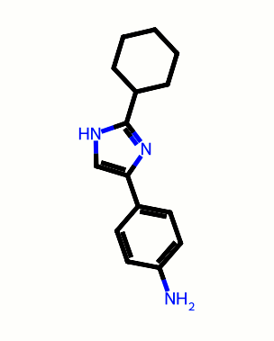 Nc1ccc(-c2c[nH]c(C3CCCCC3)n2)cc1